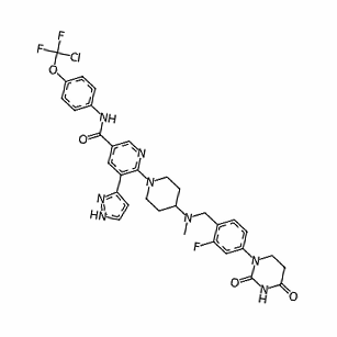 CN(Cc1ccc(N2CCC(=O)NC2=O)cc1F)C1CCN(c2ncc(C(=O)Nc3ccc(OC(F)(F)Cl)cc3)cc2-c2cc[nH]n2)CC1